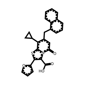 O=C(O)c1c(-c2ccco2)sc2c(C3CC3)c(Cc3cccc4ccccc34)cc(=O)n12